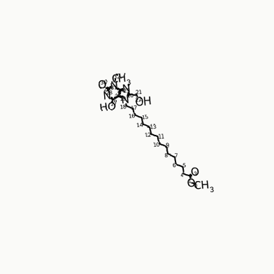 COC(=O)CCCCCCCCCCCCCCCn1c(CO)nc2c1c(O)nc(=O)n2C